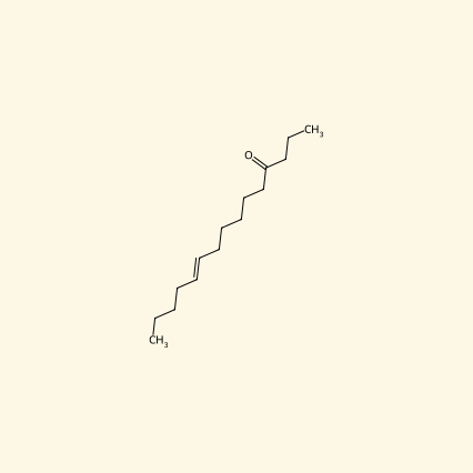 CCCCC=CCCCCCC(=O)CCC